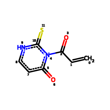 C=CC(=O)n1c(=O)cc[nH]c1=S